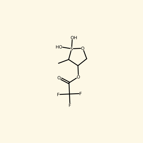 CC1C(OC(=O)C(F)(F)F)COS1(O)O